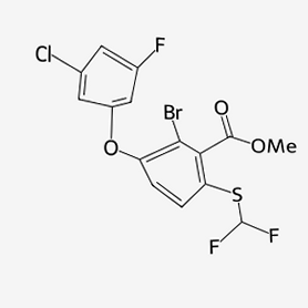 COC(=O)c1c(SC(F)F)ccc(Oc2cc(F)cc(Cl)c2)c1Br